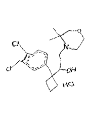 CC1(C)COCCN1CC(O)C1(c2ccc(Cl)c(Cl)c2)CCC1.Cl